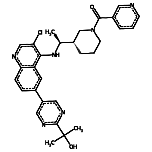 C[C@H](Nc1c(Cl)cnc2ccc(-c3cnc(C(C)(C)O)nc3)cc12)[C@H]1CCCN(C(=O)c2cccnc2)C1